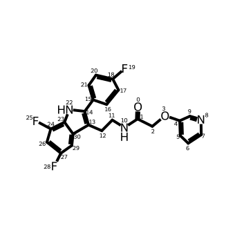 O=C(COc1cccnc1)NCCc1c(-c2ccc(F)cc2)[nH]c2c(F)cc(F)cc12